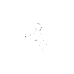 CC1CC(C)CN(C(=O)[C@@H]2Cc3ccccc3N2c2nccs2)C1